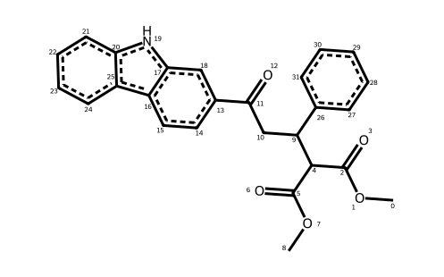 COC(=O)C(C(=O)OC)C(CC(=O)c1ccc2c(c1)[nH]c1ccccc12)c1ccccc1